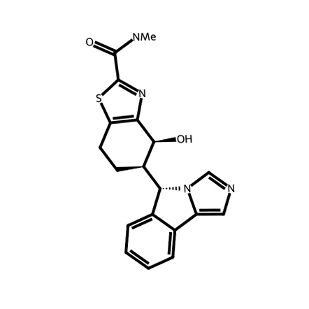 CNC(=O)c1nc2c(s1)CC[C@H]([C@H]1c3ccccc3-c3cncn31)[C@@H]2O